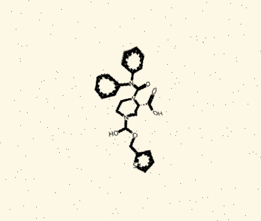 O=C(O)[C@@H]1CN(C(O)OCc2cccs2)CCN1C(=O)N(c1ccccc1)c1ccccc1